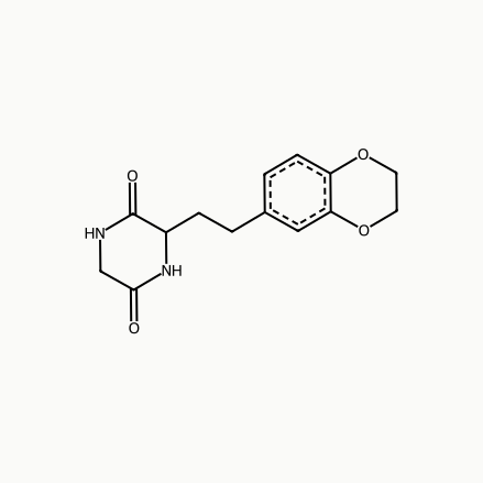 O=C1CNC(=O)C(CCc2ccc3c(c2)OCCO3)N1